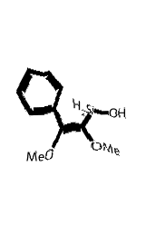 COC([SiH2]O)=C(OC)c1ccccc1